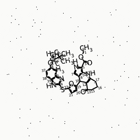 CCOC(=O)c1[nH]cc2c1NC1=C(C(=O)CCC1)C2c1ccc(Sc2nc3cc(O[Si](C)(C)C(C)(C)C)ccc3[nH]2)o1